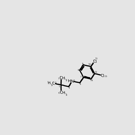 CC(C)(C)CNCc1ccc(Cl)c(Cl)c1